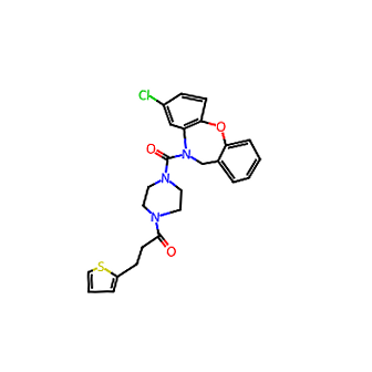 O=C(CCc1cccs1)N1CCN(C(=O)N2Cc3ccccc3Oc3ccc(Cl)cc32)CC1